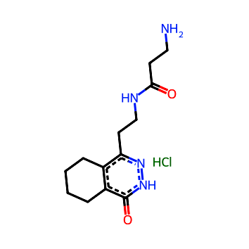 Cl.NCCC(=O)NCCc1n[nH]c(=O)c2c1CCCC2